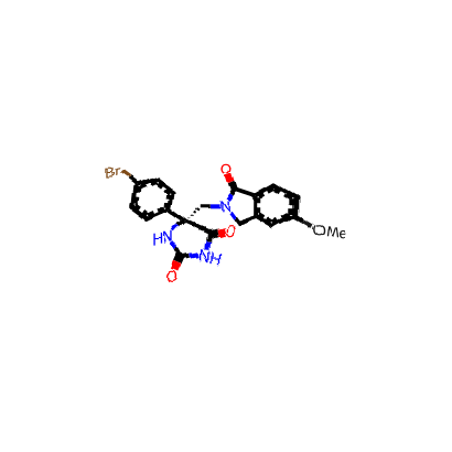 COc1ccc2c(c1)CN(C[C@@]1(c3ccc(Br)cc3)NC(=O)NC1=O)C2=O